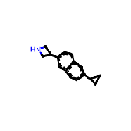 c1cc2cc(C3CNC3)ccc2cc1C1CC1